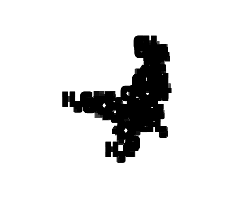 COc1ccc(CN(Cc2ccc(OC)cc2)c2cc(C)c(C(F)(F)F)c(-c3cc4ncnc5c4c(c3Cl)OCCN5Cc3cccc(OC)n3)n2)cc1